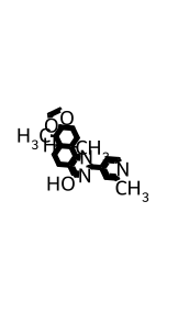 Cc1cc(-c2nc(O)c3c(n2)[C@]2(C)CCC4(OCCO4)[C@H](C)[C@H]2CC3)ccn1